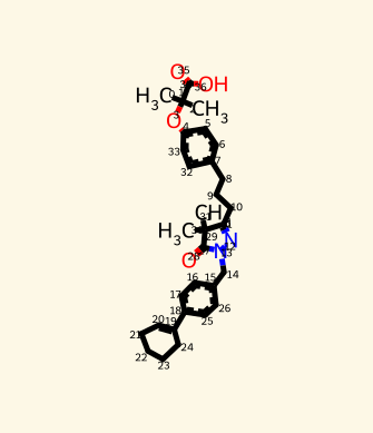 CC(C)(Oc1ccc(CCCC2=NN(Cc3ccc(C4=CCCCC4)cc3)C(=O)C2(C)C)cc1)C(=O)O